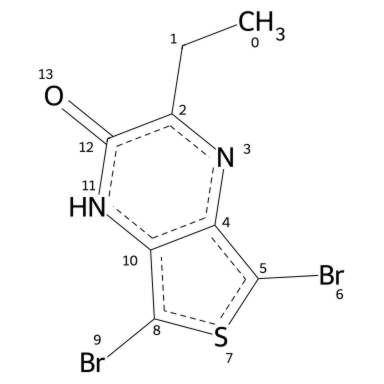 CCc1nc2c(Br)sc(Br)c2[nH]c1=O